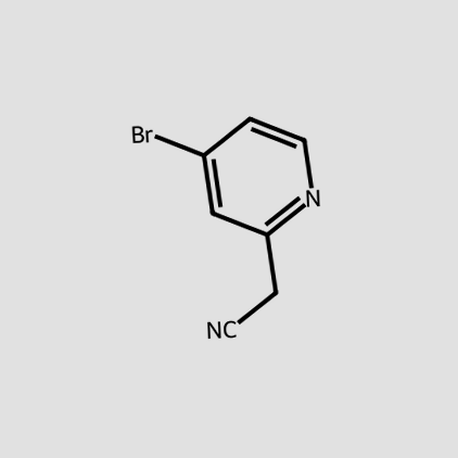 N#CCc1cc(Br)ccn1